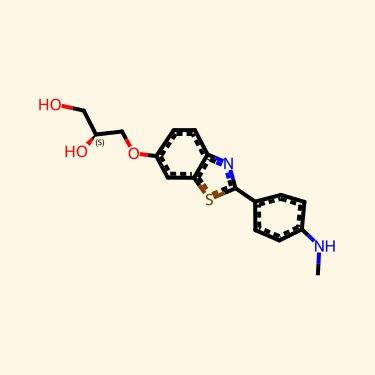 CNc1ccc(-c2nc3ccc(OC[C@@H](O)CO)cc3s2)cc1